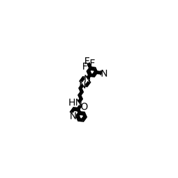 N#Cc1cc(N2CCN(CCCCNC(=O)c3ccnc4ccccc34)CC2)cc(C(F)(F)F)c1